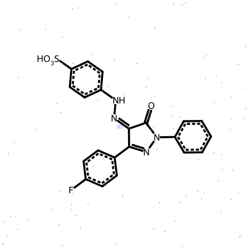 O=C1/C(=N\Nc2ccc(S(=O)(=O)O)cc2)C(c2ccc(F)cc2)=NN1c1ccccc1